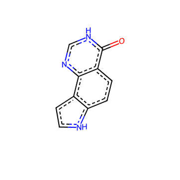 O=c1[nH]cnc2c1ccc1[nH]ccc12